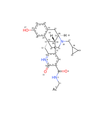 CC(=O)CNC(=O)c1cc2c([nH]c1=O)C[C@]13CCN(CC4CC4)[C@H](Cc4ccc(O)cc41)[C@@H]3C2